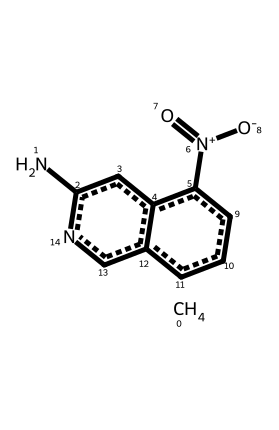 C.Nc1cc2c([N+](=O)[O-])cccc2cn1